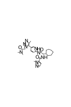 Cc1nnn(CC(=O)N(C)C)c1-c1ccc(NC(=O)[C@@H](NC(=O)c2ccnn2C)C2CCCCCC2)nc1